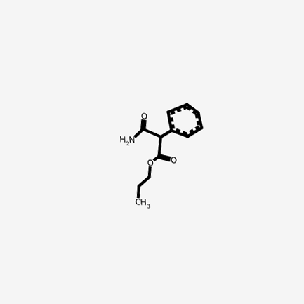 CCCOC(=O)C(C(N)=O)c1ccccc1